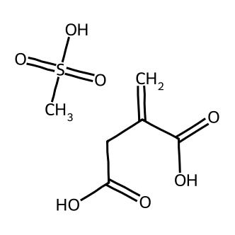 C=C(CC(=O)O)C(=O)O.CS(=O)(=O)O